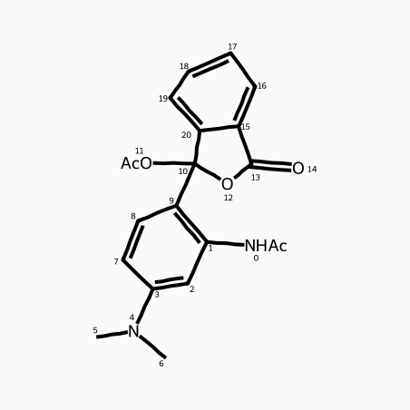 CC(=O)Nc1cc(N(C)C)ccc1C1(OC(C)=O)OC(=O)c2ccccc21